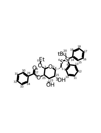 CCO[C@H]1O[C@H](CS[Si](c2ccccc2)(c2ccccc2)C(C)(C)C)[C@H](O)[C@H](O)[C@H]1OC(=O)c1ccccc1